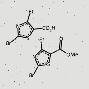 CCc1nc(Br)sc1C(=O)O.CCc1nc(Br)sc1C(=O)OC